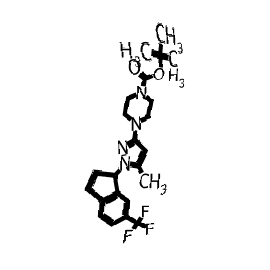 Cc1cc(N2CCN(C(=O)OC(C)(C)C)CC2)nn1C1CCc2ccc(C(F)(F)F)cc21